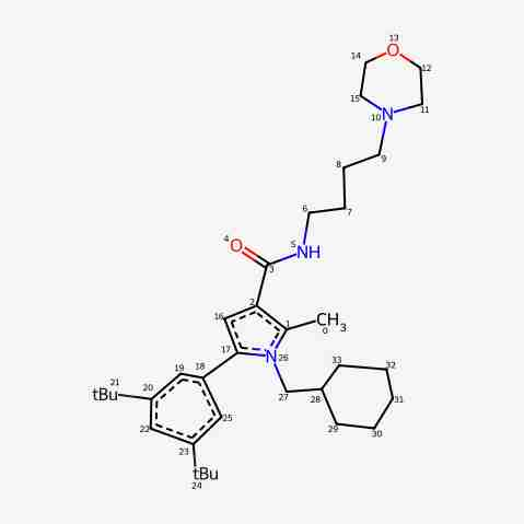 Cc1c(C(=O)NCCCCN2CCOCC2)cc(-c2cc(C(C)(C)C)cc(C(C)(C)C)c2)n1CC1CCCCC1